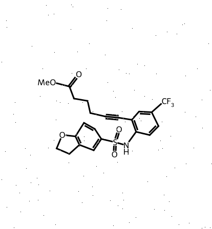 COC(=O)CCCC#Cc1cc(C(F)(F)F)ccc1NS(=O)(=O)c1ccc2c(c1)CCO2